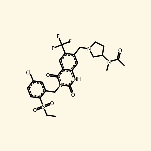 CCS(=O)(=O)c1ccc(Cl)cc1Cn1c(=O)[nH]c2cc(CN3CCC(N(C)C(C)=O)C3)c(C(F)(F)F)cc2c1=O